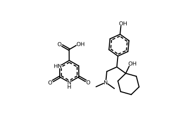 CN(C)CC(c1ccc(O)cc1)C1(O)CCCCC1.O=C(O)c1cc(=O)[nH]c(=O)[nH]1